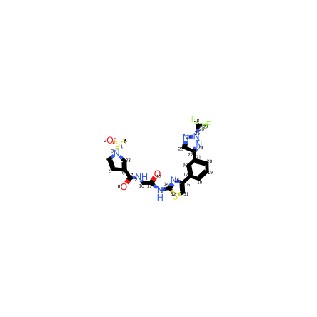 C[S+]([O-])n1ccc(C(=O)NCC(=O)Nc2nc(-c3cccc(-c4cnn(C(F)F)n4)c3)cs2)c1